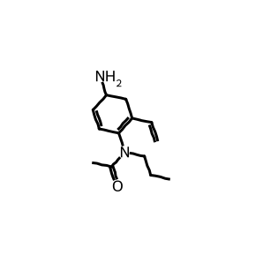 C=CC1=C(N(CCC)C(C)=O)C=CC(N)C1